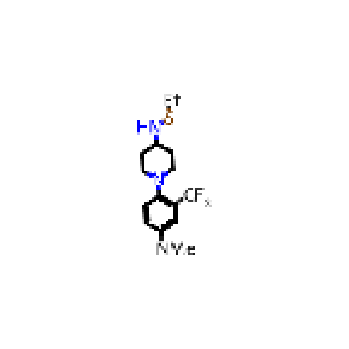 CCSNC1CCN(c2ccc(NC)cc2C(F)(F)F)CC1